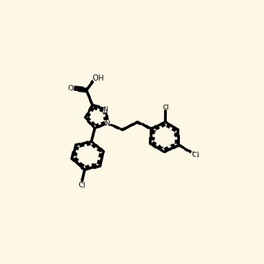 O=C(O)c1cc(-c2ccc(Cl)cc2)n(CCc2ccc(Cl)cc2Cl)n1